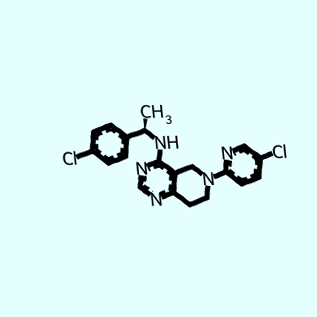 C[C@@H](Nc1ncnc2c1CN(c1ccc(Cl)cn1)CC2)c1ccc(Cl)cc1